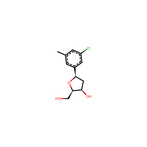 Cc1cc(Cl)cc([C@H]2C[C@@H](O)[C@@H](CO)O2)c1